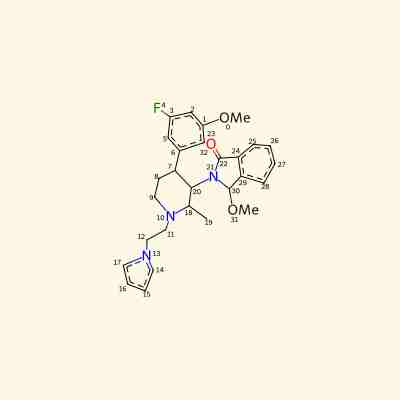 COc1cc(F)cc(C2CCN(CCn3cccc3)C(C)C2N2C(=O)c3ccccc3C2OC)c1